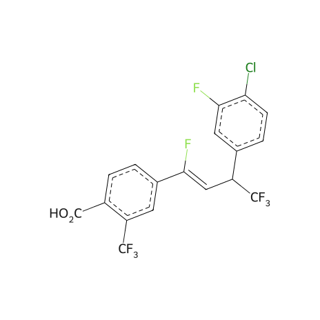 O=C(O)c1ccc(C(F)=CC(c2ccc(Cl)c(F)c2)C(F)(F)F)cc1C(F)(F)F